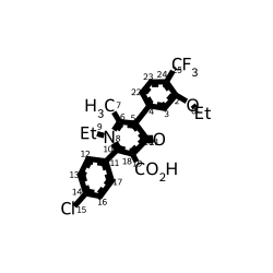 CCOc1cc(-c2c(C)n(CC)c(-c3ccc(Cl)cc3)c(C(=O)O)c2=O)ccc1C(F)(F)F